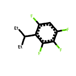 CCC(CC)c1c(F)cc(F)c(F)c1F